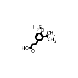 C=C(C)c1cc(CCC(=O)O)ccc1OC